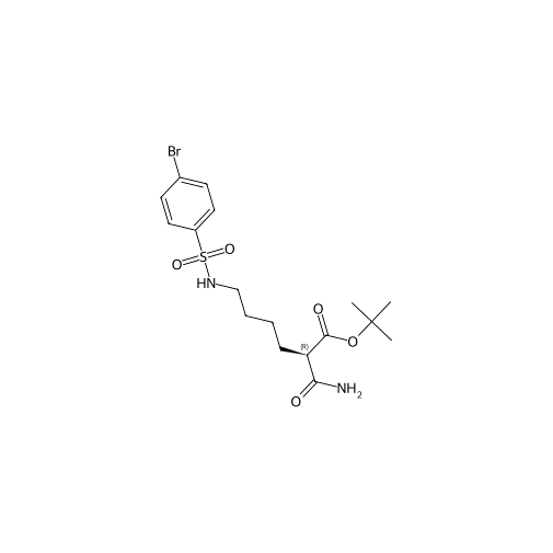 CC(C)(C)OC(=O)[C@H](CCCCNS(=O)(=O)c1ccc(Br)cc1)C(N)=O